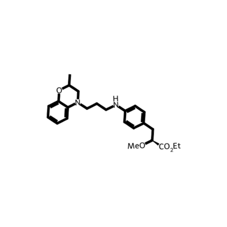 CCOC(=O)[C@H](Cc1ccc(NCCCN2CC(C)Oc3ccccc32)cc1)OC